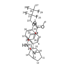 COC(=O)c1ccc(CN2C3CCC2CC(Nc2ccc(OCC(F)(F)C(C)(F)F)cc2)C3)cc1